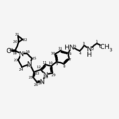 CCNCCNc1ccc(-c2cc3c(N4CCN(C(=O)C5CC5)CC4)ccnn3c2)cc1